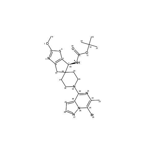 COc1nc2c(s1)[C@@H](NC(=O)OC(C)(C)C)C1(CCN(c3nc(C)c(Br)n4nccc34)CC1)C2